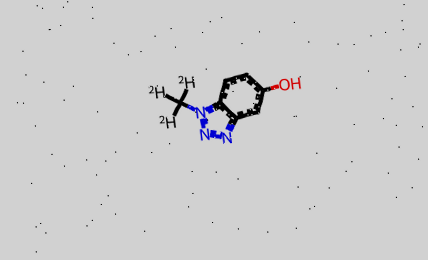 [2H]C([2H])([2H])n1nnc2cc(O)ccc21